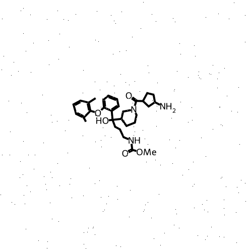 COC(=O)NCCCC(O)(c1ccccc1Oc1c(C)cccc1C)C1CCCN(C(=O)C2CCC(N)C2)C1